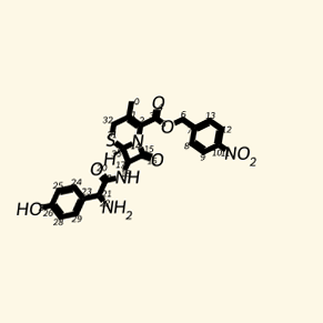 CC1=C(C(=O)OCc2ccc([N+](=O)[O-])cc2)N2C(=O)C(NC(=O)C(N)c3ccc(O)cc3)[C@H]2SC1